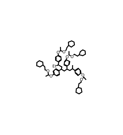 CCC(CC(CC(CC(C)c1ccc(OC(C)OCCC2CCCCC2)cc1)c1ccc(OC(C)OCCC2CCCCC2)cc1)c1ccc(OC(C)OCCC2CCCCC2)cc1)c1ccc(OC(C)OCCC2CCCCC2)cc1